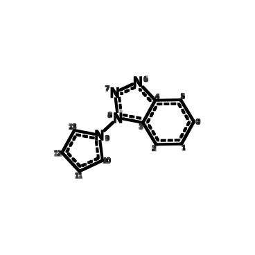 c1ccc2c(c1)nnn2-n1cccc1